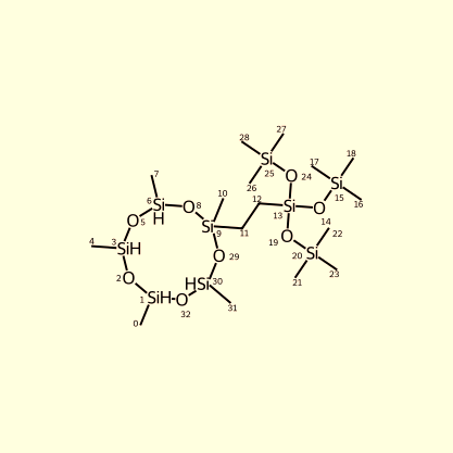 C[SiH]1O[SiH](C)O[SiH](C)O[Si](C)(CC[Si](O[Si](C)(C)C)(O[Si](C)(C)C)O[Si](C)(C)C)O[SiH](C)O1